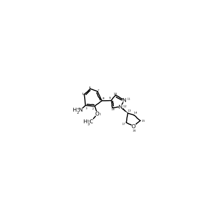 COc1c(N)cccc1-c1cnn([C@H]2CCOC2)c1